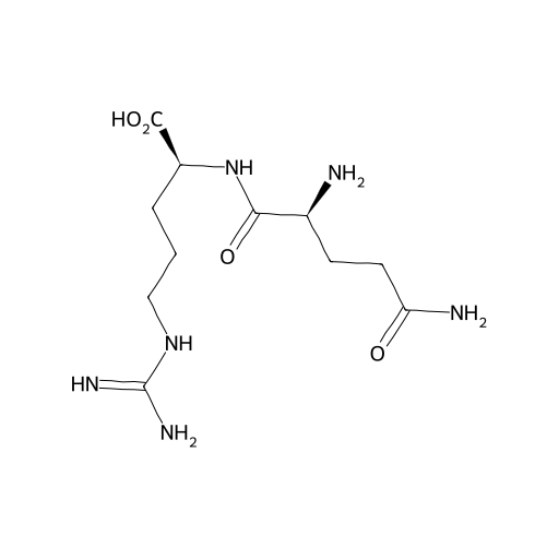 N=C(N)NCCC[C@H](NC(=O)[C@@H](N)CCC(N)=O)C(=O)O